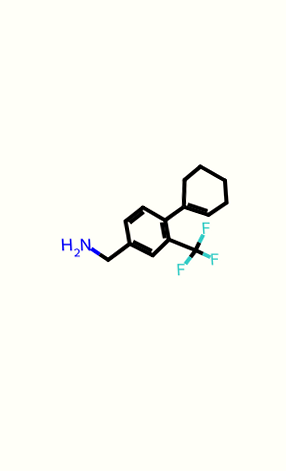 NCc1ccc(C2=CCCCC2)c(C(F)(F)F)c1